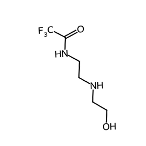 O=C(NCCNCCO)C(F)(F)F